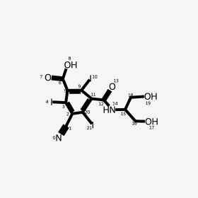 N#Cc1c(I)c(C(=O)O)c(I)c(C(=O)NC(CO)CO)c1I